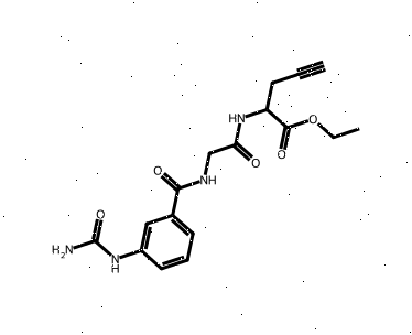 C#CCC(NC(=O)CNC(=O)c1cccc(NC(N)=O)c1)C(=O)OCC